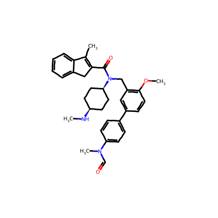 CN[C@H]1CC[C@@H](N(Cc2cc(-c3ccc(N(C)C=O)cc3)ccc2OC)C(=O)C2=C(C)c3ccccc3C2)CC1